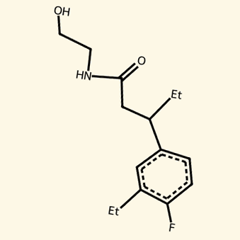 CCc1cc(C(CC)CC(=O)NCCO)ccc1F